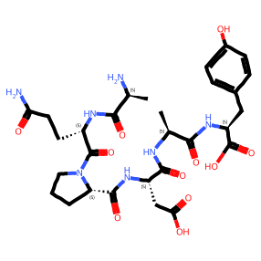 C[C@H](N)C(=O)N[C@@H](CCC(N)=O)C(=O)N1CCC[C@H]1C(=O)N[C@@H](CC(=O)O)C(=O)N[C@@H](C)C(=O)N[C@@H](Cc1ccc(O)cc1)C(=O)O